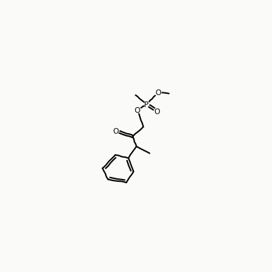 COP(C)(=O)OCC(=O)C(C)c1ccccc1